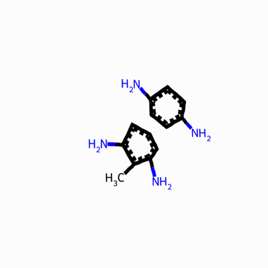 Cc1c(N)cccc1N.Nc1ccc(N)cc1